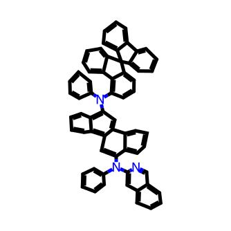 c1ccc(N(c2cc3ccccc3cn2)c2cc3c4ccccc4c(N(c4ccccc4)c4cccc5c4-c4ccccc4C54c5ccccc5-c5ccccc54)cc3c3ccccc23)cc1